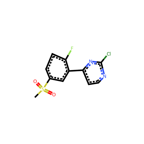 CS(=O)(=O)c1ccc(F)c(-c2ccnc(Cl)n2)c1